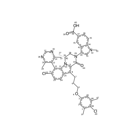 Cc1cc(OCCCc2c3n(c4c(-c5c(C)ncnc5C)c(Cl)ccc24)[C@H](C)CN(c2cn(C)c4ccc(C(=O)O)cc24)C3=O)cc(C)c1Cl